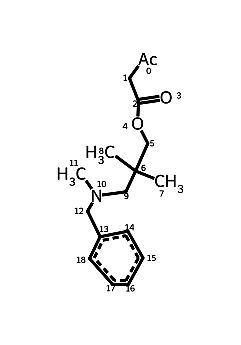 CC(=O)CC(=O)OCC(C)(C)CN(C)Cc1ccccc1